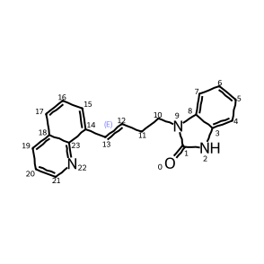 O=c1[nH]c2ccccc2n1CC/C=C/c1cccc2cccnc12